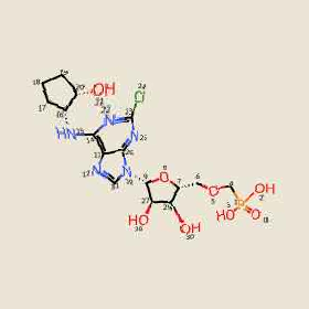 O=P(O)(O)COC[C@H]1O[C@@H](n2cnc3c(N[C@@H]4CCC[C@@H]4O)nc(Cl)nc32)[C@H](O)[C@@H]1O